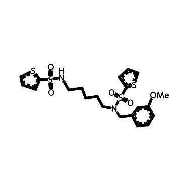 COc1cccc(CN(CCCCCNS(=O)(=O)c2cccs2)S(=O)(=O)c2cccs2)c1